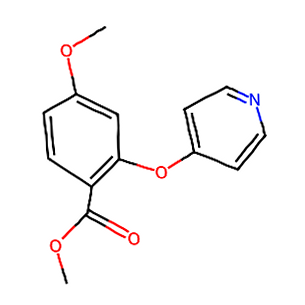 COC(=O)c1ccc(OC)cc1Oc1ccncc1